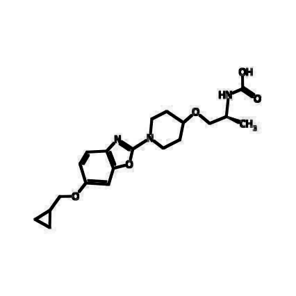 C[C@@H](COC1CCN(c2nc3ccc(OCC4CC4)cc3o2)CC1)NC(=O)O